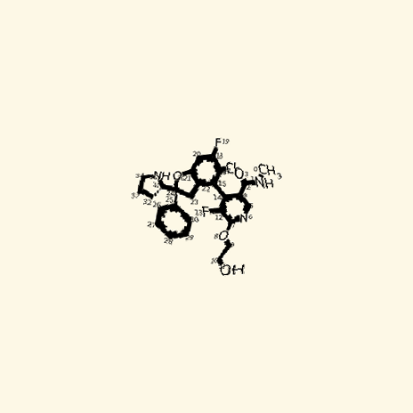 CNC(=O)c1cnc(OCCO)c(F)c1-c1c(Cl)c(F)cc2c1C[C@](c1ccccc1)([C@@H]1CCCN1)O2